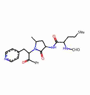 CSCCC(NC=O)C(=O)NC1CC(C)N(C(Cc2ccncc2)C(=O)C(C)C)C1=O